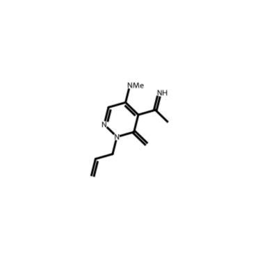 C=CCN1N=CC(NC)=C(C(C)=N)C1=C